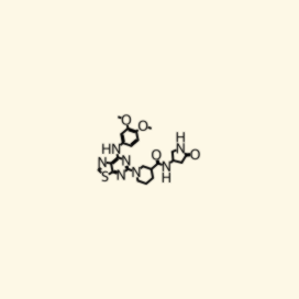 COc1ccc(Nc2nc(N3CCCC(C(=O)NC4CNC(=O)C4)C3)nc3scnc23)cc1OC